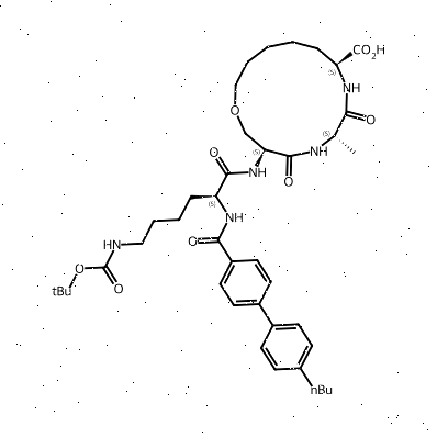 CCCCc1ccc(-c2ccc(C(=O)N[C@@H](CCCCNC(=O)OC(C)(C)C)C(=O)N[C@H]3COCCCCC[C@@H](C(=O)O)NC(=O)[C@H](C)NC3=O)cc2)cc1